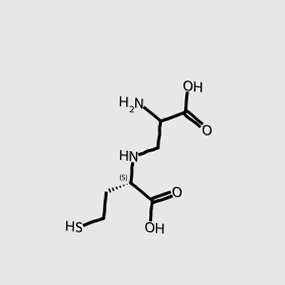 NC(CN[C@@H](CCS)C(=O)O)C(=O)O